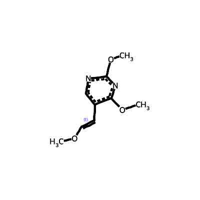 CO/C=C/c1cnc(OC)nc1OC